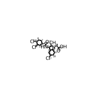 Cc1c(N[S+]([O-])c2ccc(Cl)c(Cl)c2)c2cc(Cl)ccc2n1CC(=O)O